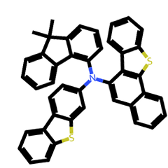 CC1(C)c2ccccc2-c2c(N(c3ccc4c(c3)sc3ccccc34)c3cc4ccccc4c4sc5ccccc5c34)cccc21